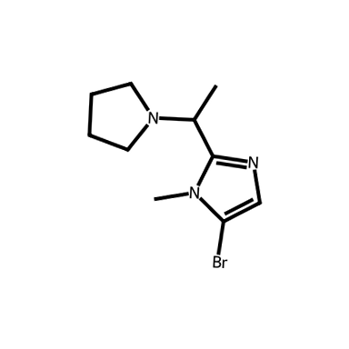 CC(c1ncc(Br)n1C)N1CCCC1